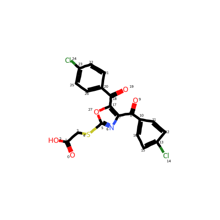 O=C(O)CSc1nc(C(=O)c2ccc(Cl)cc2)c(C(=O)c2ccc(Cl)cc2)o1